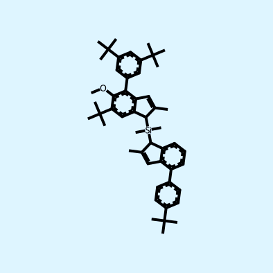 COc1c(C(C)(C)C)cc2c(c1-c1cc(C(C)(C)C)cc(C(C)(C)C)c1)C=C(C)C2[Si](C)(C)C1C(C)=Cc2c(-c3ccc(C(C)(C)C)cc3)cccc21